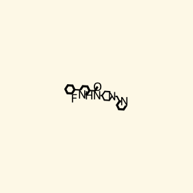 O=C(NC1CCN(Cc2ccccn2)CC1)c1ccc(-c2ccccc2F)nc1